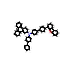 c1ccc(-c2ccc(N(c3ccc(-c4ccc(-c5cccc6c5oc5ccccc56)cc4)cc3)c3ccc4c5ccccc5c5ccccc5c4c3)cc2)cc1